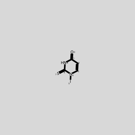 O=c1ccn(I)c(=S)[nH]1